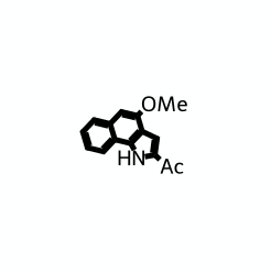 COc1cc2ccccc2c2[nH]c(C(C)=O)cc12